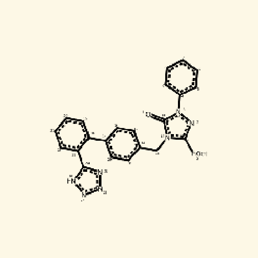 CCCCCCCCc1nn(-c2ccccc2)c(=O)n1Cc1ccc(-c2ccccc2-c2nnn[nH]2)cc1